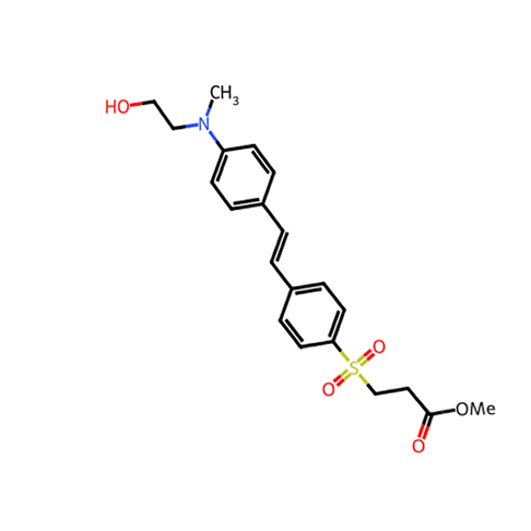 COC(=O)CCS(=O)(=O)c1ccc(/C=C/c2ccc(N(C)CCO)cc2)cc1